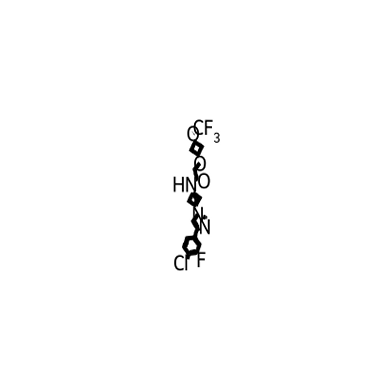 O=C(CO[C@H]1C[C@@H](OC(F)(F)F)C1)NC12CC(n3cnc(-c4ccc(Cl)c(F)c4)c3)(C1)C2